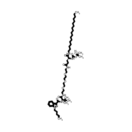 C=CCCCn1nc(C(=O)N[C@H](C(=O)NCCOCCOCCOCCNC(=O)CC[C@H](NC(=O)OC(C)(C)C)C(=O)NCCCCCCCCCCCCCCCCCC)C(C)(C)C)c2ccccc21